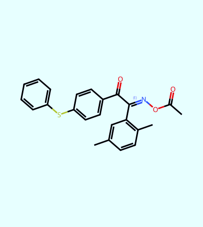 CC(=O)O/N=C(/C(=O)c1ccc(Sc2ccccc2)cc1)c1cc(C)ccc1C